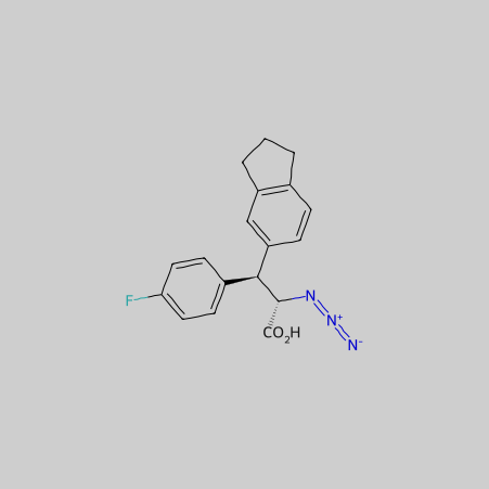 [N-]=[N+]=N[C@H](C(=O)O)[C@@H](c1ccc(F)cc1)c1ccc2c(c1)CCC2